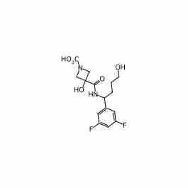 O=C(O)N1CC(O)(C(=O)NC(CCCO)c2cc(F)cc(F)c2)C1